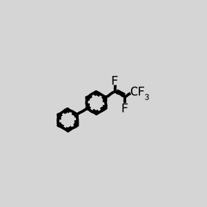 FC(=C(F)C(F)(F)F)c1ccc(-c2ccccc2)cc1